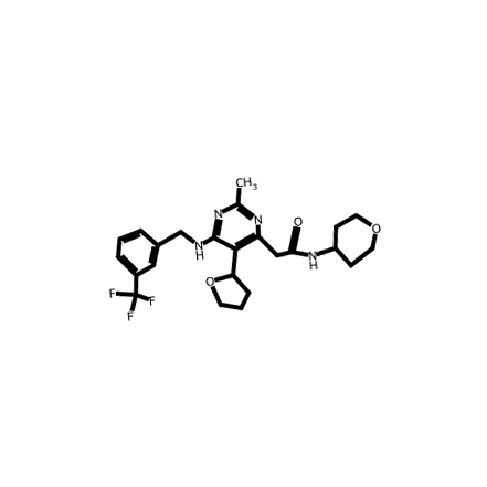 Cc1nc(CC(=O)NC2CCOCC2)c(C2CCCO2)c(NCc2cccc(C(F)(F)F)c2)n1